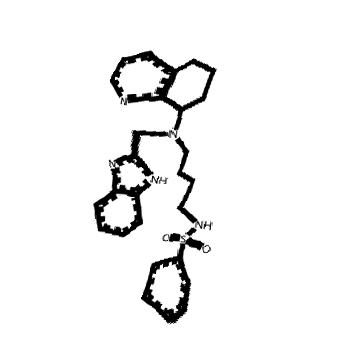 O=S(=O)(NCCCCN(Cc1nc2ccccc2[nH]1)C1CCCc2cccnc21)c1ccccc1